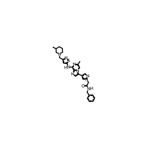 Cc1cn2c(-c3cnn(CC(=O)NCc4ccccc4)c3)cnc2c(Nc2cc(CN3CCCC(C)C3)ns2)n1